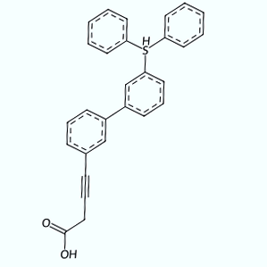 O=C(O)CC#Cc1cccc(-c2cccc([SH](c3ccccc3)c3ccccc3)c2)c1